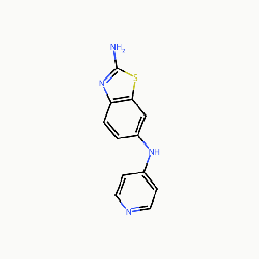 Nc1nc2ccc(Nc3ccncc3)cc2s1